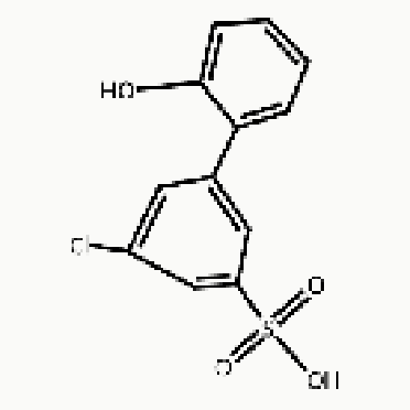 O=S(=O)(O)c1cc(Cl)cc(-c2ccccc2O)c1